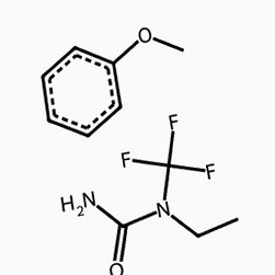 CCN(C(N)=O)C(F)(F)F.COc1ccccc1